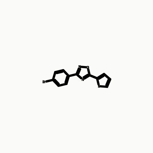 Brc1ccc(-c2noc(-c3cccs3)n2)cc1